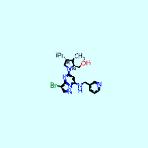 CC(C)[C@H]1CN(c2cc(NCc3cccnc3)n3ncc(Br)c3n2)[C@H](CO)C1C